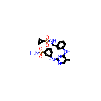 Cc1cnc(Nc2cccc(S(N)(=O)=O)c2)nc1Nc1cccc(CNS(=O)(=O)C2CC2)c1